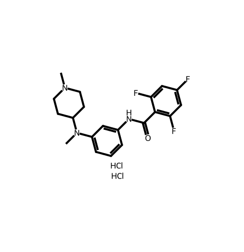 CN1CCC(N(C)c2cccc(NC(=O)c3c(F)cc(F)cc3F)c2)CC1.Cl.Cl